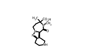 CN1C(=O)c2c3c(nn2CCC1(C)C(=O)O)CCNC3